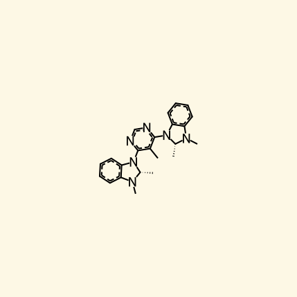 Cc1c(N2c3ccccc3N(C)[C@H]2C)ncnc1N1c2ccccc2N(C)[C@@H]1C